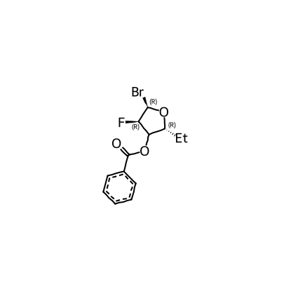 CC[C@H]1O[C@H](Br)[C@H](F)C1OC(=O)c1ccccc1